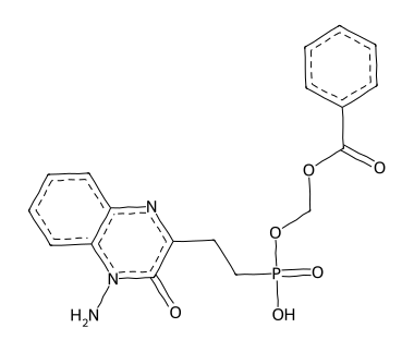 Nn1c(=O)c(CCP(=O)(O)OCOC(=O)c2ccccc2)nc2ccccc21